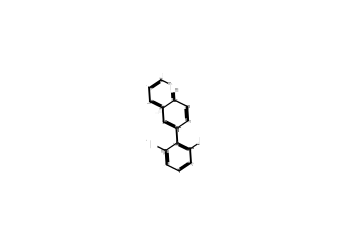 Fc1cccc(F)c1-c1ccc2ncccc2c1